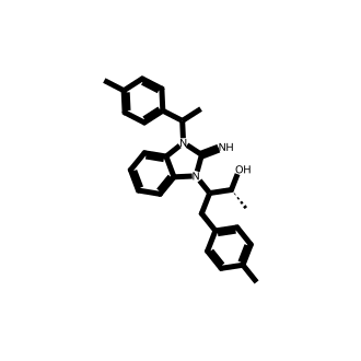 Cc1ccc(CC([C@@H](C)O)n2c(=N)n(C(C)c3ccc(C)cc3)c3ccccc32)cc1